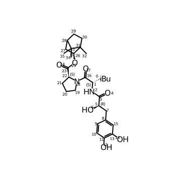 CCC(C)[C@H](NC(=O)[C@H](O)Cc1ccc(O)c(O)c1)C(=O)N1CCC[C@H]1C(=O)O[C@H]1CC2CCC1(C)C2(C)C